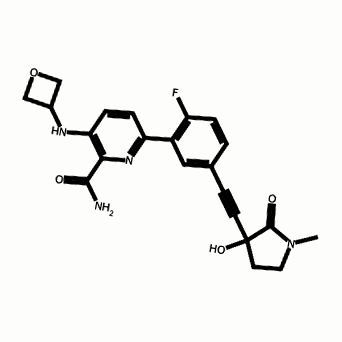 CN1CCC(O)(C#Cc2ccc(F)c(-c3ccc(NC4COC4)c(C(N)=O)n3)c2)C1=O